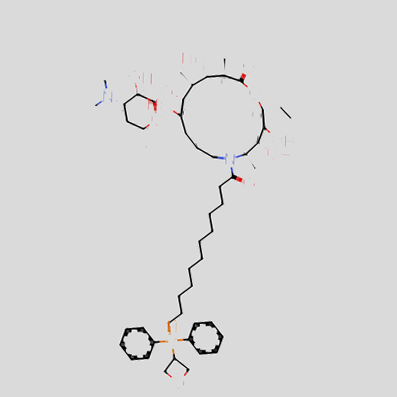 CC[C@H]1OC(=O)[C@H](C)[C@@H](O)[C@H](C)[C@@H](O[C@@H]2O[C@H](C)C[C@H](N(C)C)[C@H]2O)[C@](C)(O)C[C@@H](C)CN(C(=O)CCCCCCCCCCC[PH](c2ccccc2)(c2ccccc2)C2COC2)[C@H](C)[C@@H](O)[C@]1(C)O